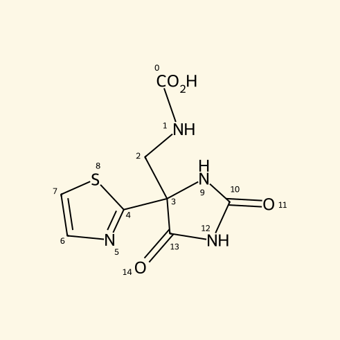 O=C(O)NCC1(c2nccs2)NC(=O)NC1=O